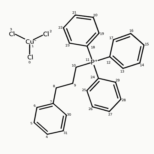 [Cl][Cu-]([Cl])[Cl].c1ccc(CCC[P+](c2ccccc2)(c2ccccc2)c2ccccc2)cc1